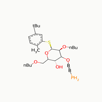 CCCCOCC1O[C@@H](Sc2cc(C(C)(C)C)ccc2C)[C@@H](OCCCC)C(OB=BP)[C@@H]1O